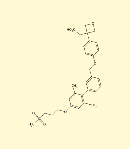 Cc1cc(OCCCS(C)(=O)=O)cc(C)c1-c1cccc(COc2ccc(C3(CC(=O)O)COC3)cc2)c1